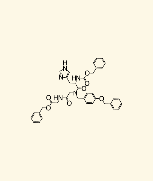 O=C(CN(Cc1ccc(OCc2ccccc2)cc1)C(=O)C(Cc1c[nH]cn1)NC(=O)OCc1ccccc1)NCC(=O)OCc1ccccc1